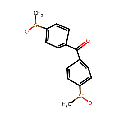 C[S+]([O-])c1ccc(C(=O)c2ccc([S+](C)[O-])cc2)cc1